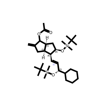 C=C1C[C@@H]2[C@H](/C=C/[C@@H](O[Si](C)(C)C(C)(C)C)C3CCCCC3)[C@H](O[Si](C)(C)C(C)(C)C)C[C@@H]2C1OC(C)=O